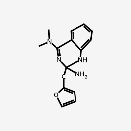 CN(C)C1=NC(N)(Cc2ccco2)Nc2ccccc21